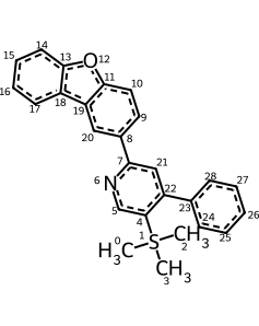 CS(C)(C)c1cnc(-c2ccc3oc4ccccc4c3c2)cc1-c1ccccc1